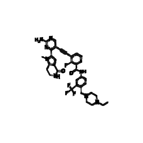 CCN1CCN(Cc2ccc(NC(=O)c3cccc(C#Cc4cnc(N)nc4-c4cc5c(n4C)CCNC5=O)c3F)cc2C(F)(F)F)CC1